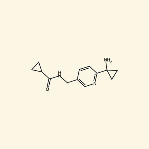 NC1(c2ccc(CNC(=O)C3CC3)cn2)CC1